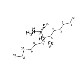 CCCCCC[SH](CCCCCC)C(N)=S.[Fe]